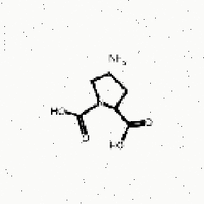 N.O=C(O)C1CCCN1C(=O)O